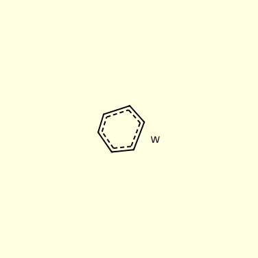 [W].c1ccccc1